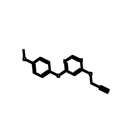 C#CCOc1cc(Oc2ccc(OC)cc2)ncn1